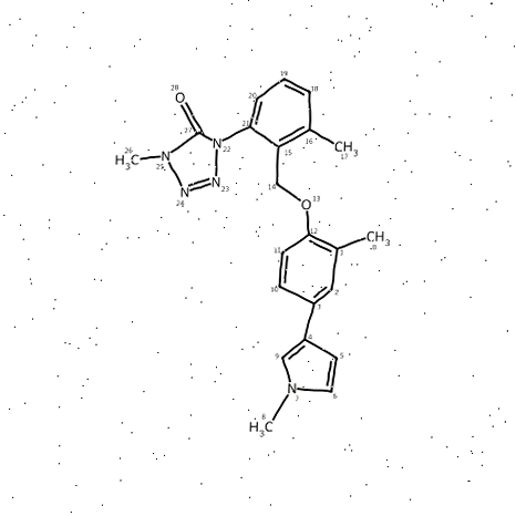 Cc1cc(-c2ccn(C)c2)ccc1OCc1c(C)cccc1-n1nnn(C)c1=O